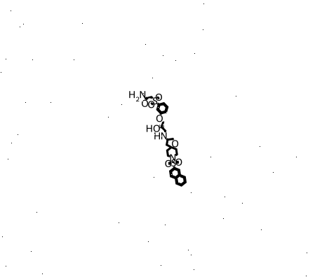 NC(=O)CS(=O)(=O)c1cccc(OC[C@@H](O)CNC2COC3(CCN(S(=O)(=O)c4ccc5ccccc5c4)CC3)C2)c1